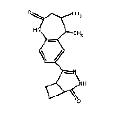 CC1CC(=O)Nc2ccc(C3=NNC(=O)C4CCC34)cc2C1C